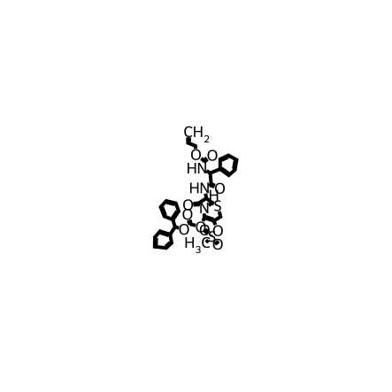 C=CCOC(=O)NC(C(=O)NC1C(=O)N2C(OC(=O)OC(c3ccccc3)c3ccccc3)=C(OS(C)(=O)=O)CS[C@@H]12)c1ccccc1